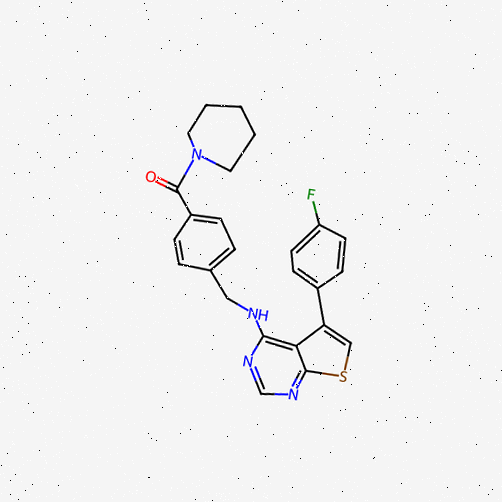 O=C(c1ccc(CNc2ncnc3scc(-c4ccc(F)cc4)c23)cc1)N1CCCCC1